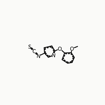 COc1ccccc1Oc1ccc(N=C=S)cn1